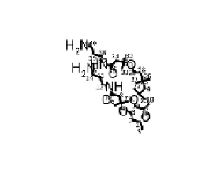 CC(CCOC(C)(C)CC(=O)NCCCN)OC(C)COC(C)(C)CC(C)(C)CCOC(C)(C)CC(=O)NCCCN